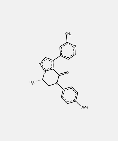 COc1ccc(N2C[C@H](C)n3ncc(-c4ccnc(C)c4)c3C2=O)cc1